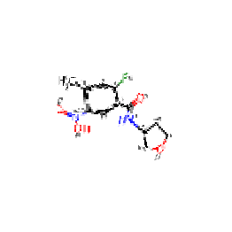 Cc1cc(F)c(C(=O)NC2CCOC2)cc1[N+](=O)O